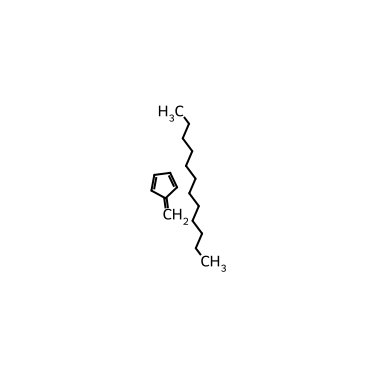 C=C1C=CC=C1.CCCCCCCCCCCC